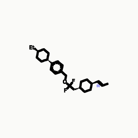 C/C=C/[C@H]1CC[C@H](CC(F)(F)OCc2ccc([C@H]3CC[C@H](CC)CC3)cc2)CC1